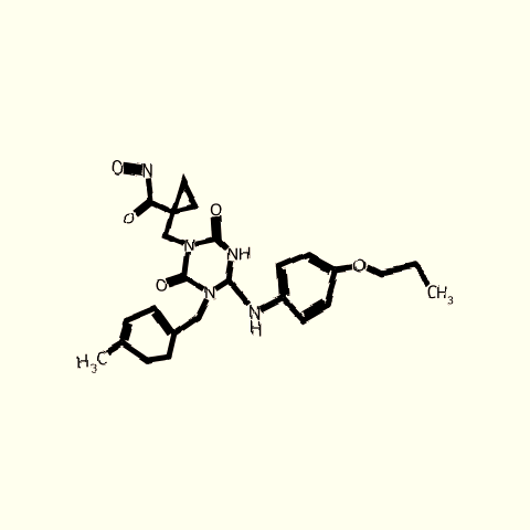 CCCOc1ccc(NC2NC(=O)N(CC3(C(=O)N=O)CC3)C(=O)N2CC2=CC=C(C)CC2)cc1